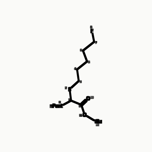 CCCCCC(SCCCCCF)C(=O)OC(C)(C)C